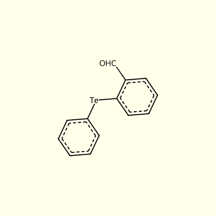 O=Cc1ccccc1[Te]c1ccccc1